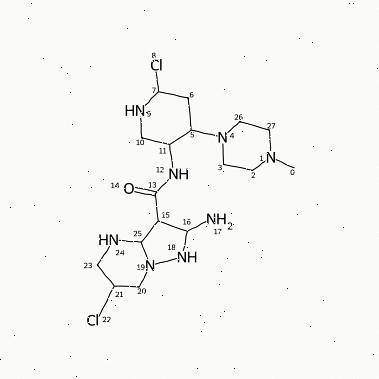 CN1CCN(C2CC(Cl)NCC2NC(=O)C2C(N)NN3CC(Cl)CNC23)CC1